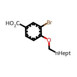 CCCCCCCCOc1ccc(C(=O)O)cc1Br